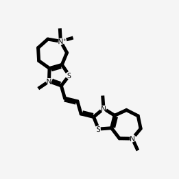 CN1CCCC2=C(C1)SC(=CC=Cc1sc3c([n+]1C)CCC[N+](C)(C)C3)N2C